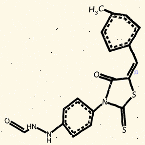 Cc1ccc(/C=C2/SC(=S)N(c3ccc(NNC=O)cc3)C2=O)cc1